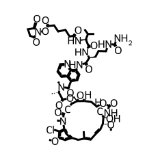 COc1cc2cc(c1Cl)N(C)C(=O)C[C@H](OC(=O)[C@H](C)N(C)C(=O)c1ccc(NC(=O)[C@H](CCCNC(N)=O)NC(=O)[C@@H](NC(=O)CCCCC(=O)ON3C(=O)CCC3=O)C(C)C)c3ncccc13)[C@]1(C)O[C@H]1C[C@@H]1C[C@@](O)(NC(=O)O1)[C@H](OC)/C=C/C=C(\C)C2